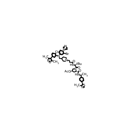 CC(=O)O[C@@H]1C[C@@H](C(=O)N[C@@H](C)c2ccc(-c3scnc3C)cc2)N(C(=O)[C@@H](NC(=O)CCN2CCC(CN(c3ccc(-n4ccnc4)c(Br)c3)c3cc(-c4c(C)noc4C)ccc3C)CC2)C(C)(C)C)C1